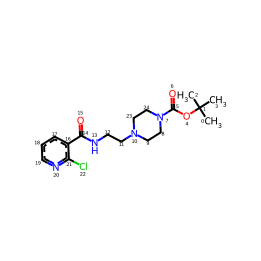 CC(C)(C)OC(=O)N1CCN(CCNC(=O)c2cccnc2Cl)CC1